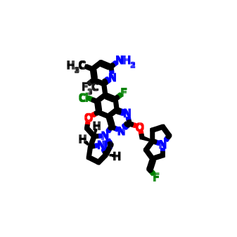 Cc1cc(N)nc(-c2c(Cl)c3c4c(nc(OC[C@@]56CCCN5C/C(=C\F)C6)nc4c2F)N2C[C@H]4CC[C@H](N4)[C@H]2CO3)c1C(F)(F)F